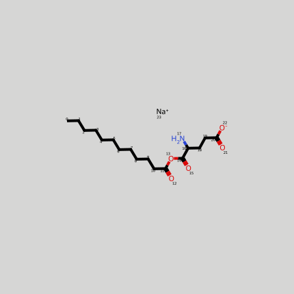 CCCCCCCCCCCC(=O)OC(=O)C(N)CCC(=O)[O-].[Na+]